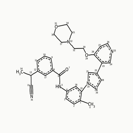 Cc1ccc(NC(=O)c2cccc(C(C)C#N)c2)cc1-n1cc(-c2cnccc2OCCN2CCOCC2)cn1